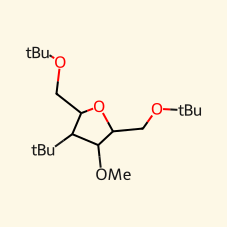 COC1C(COC(C)(C)C)OC(COC(C)(C)C)C1C(C)(C)C